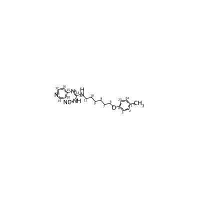 Cc1ccc(OCCCCCCNC(=Nc2ccncc2)NC#N)cc1